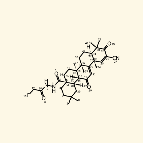 CC1(C)CC[C@]2(C(=O)NNC(=O)CF)CC[C@]3(C)[C@H](C(=O)C=C4[C@@]5(C)C=C(C#N)C(=O)C(C)(C)[C@@H]5CC[C@]43C)[C@@H]2C1